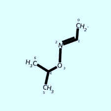 [CH2]C=NOC(C)C